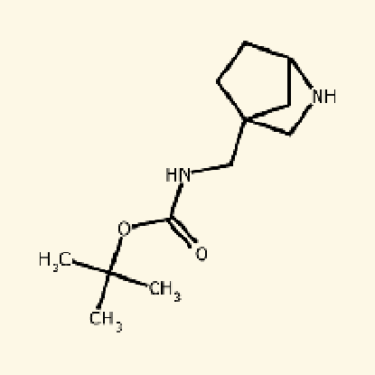 CC(C)(C)OC(=O)NCC12CCC(C1)NC2